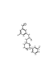 Cc1cc(C=O)cc(C[C@@H](C)CC2CCSC(c3cccc(C)c3)S2)c1